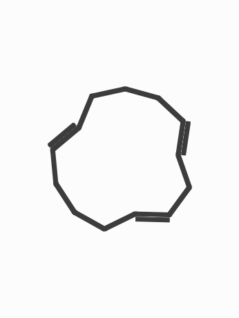 C1=C/CCC/C=C/CCC/C=C/C/1